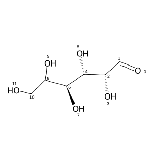 O=C[C@H](O)[C@@H](O)[C@@H](O)C(O)CO